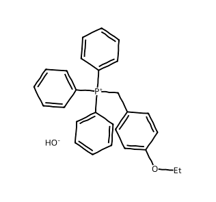 CCOc1ccc(C[P+](c2ccccc2)(c2ccccc2)c2ccccc2)cc1.[OH-]